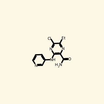 CCc1nc(C(N)=O)c(Nc2cccnc2)nc1Cl